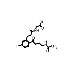 CC(=O)NCCCC(=O)c1ccc(Cl)cc1CCC(=O)NCC(=O)O